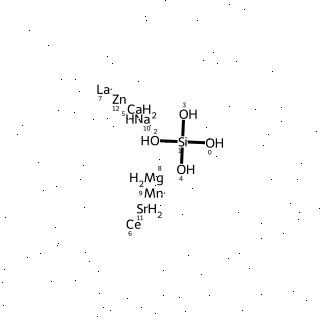 O[Si](O)(O)O.[CaH2].[Ce].[La].[MgH2].[Mn].[NaH].[SrH2].[Zn]